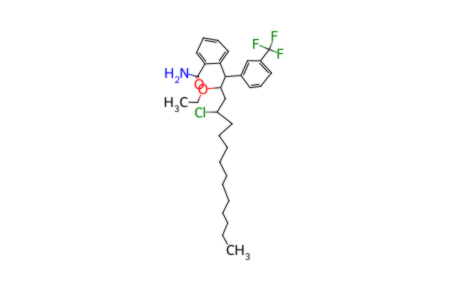 CCCCCCCCCCCC(Cl)CC(OCC)C(c1cccc(C(F)(F)F)c1)c1ccccc1C(N)=O